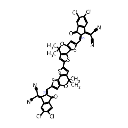 CC1(C)Oc2cc(/C=C3\C(=O)c4cc(Cl)c(Cl)cc4C3=C(C#N)C#N)sc2-c2sc(-c3cc4c(s3)-c3sc(/C=C5\C(=O)c6cc(Cl)c(Cl)cc6C5=C(C#N)C#N)cc3OC4(C)C)cc21